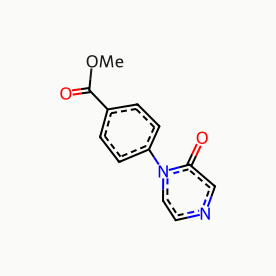 COC(=O)c1ccc(-n2ccncc2=O)cc1